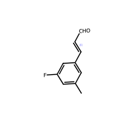 Cc1cc(F)cc(/C=C/C=O)c1